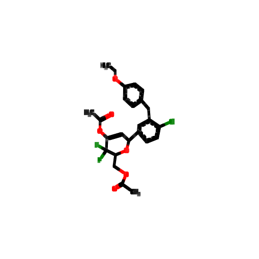 CCOc1ccc(Cc2cc(C3C=C(OC(C)=O)C(F)(F)C(COC(C)=O)O3)ccc2Cl)cc1